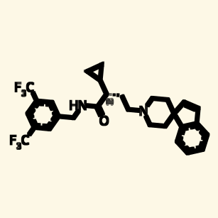 O=C(NCc1cc(C(F)(F)F)cc(C(F)(F)F)c1)[C@@H](CCN1CCC2(C=Cc3ccccc32)CC1)C1CC1